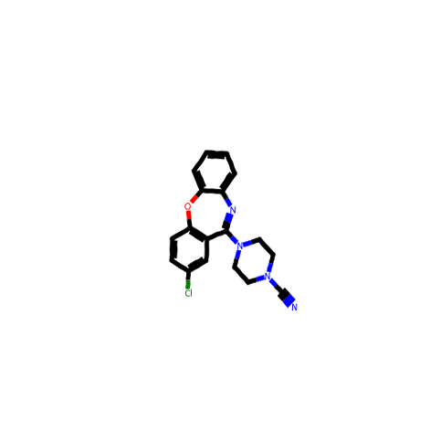 N#CN1CCN(C2=Nc3ccccc3Oc3ccc(Cl)cc32)CC1